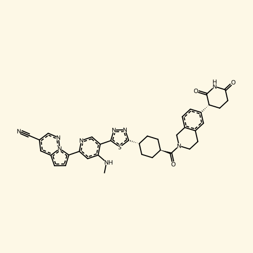 CNc1cc(-c2ccc3cc(C#N)cnn23)ncc1-c1nnc([C@H]2CC[C@H](C(=O)N3CCc4cc([C@H]5CCC(=O)NC5=O)ccc4C3)CC2)s1